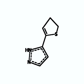 C1=C(c2ccn[nH]2)SCC1